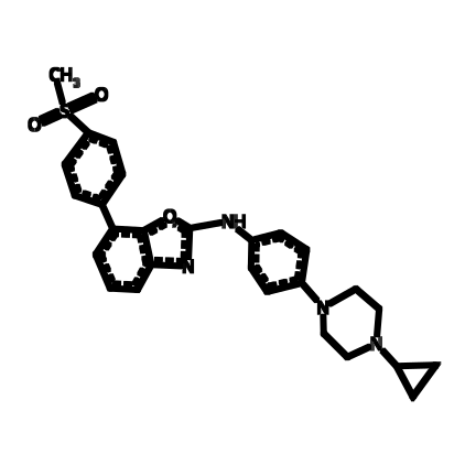 CS(=O)(=O)c1ccc(-c2cccc3nc(Nc4ccc(N5CCN(C6CC6)CC5)cc4)oc23)cc1